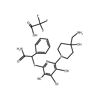 CCc1c(C#N)c(SC(C(N)=O)c2ccccc2)nc(N2CCC(O)(CN)CC2)c1C#N.O=C(O)C(F)(F)F